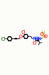 COc1cc(CCNC(=O)[C@@H](NC[SH](=O)=O)C(C)C)ccc1OCC#Cc1ccc(Cl)cc1